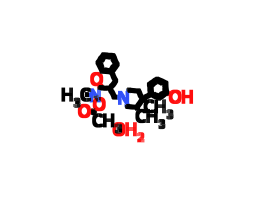 CC(=O)ON(C)C(=O)C(Cc1ccccc1)CN1CCC(C)(c2cccc(O)c2)C(C)C1.O